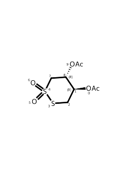 CC(=O)O[C@H]1CSS(=O)(=O)C[C@@H]1OC(C)=O